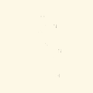 O=C(OCc1ccccc1)N1CCCC1c1nc(C(O)(c2ccccc2)c2ccccc2)cs1